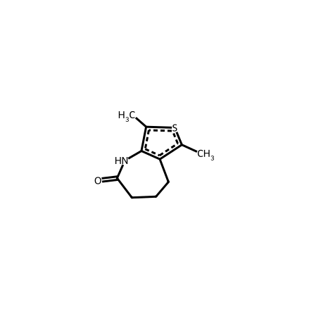 Cc1sc(C)c2c1CCCC(=O)N2